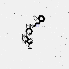 COc1ccccc1/C=C/CNC1CCN(c2ncnc3c(SC)csc23)CC1